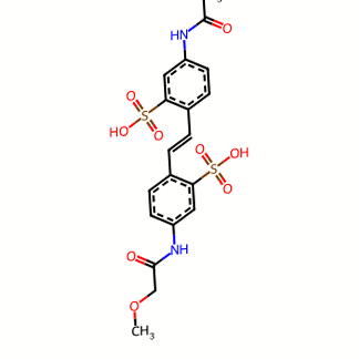 COCC(=O)Nc1ccc(C=Cc2ccc(NC(C)=O)cc2S(=O)(=O)O)c(S(=O)(=O)O)c1